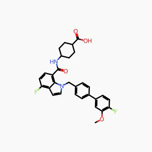 COc1cc(-c2ccc(Cn3ccc4c(F)ccc(C(=O)NC5CCC(C(=O)O)CC5)c43)cc2)ccc1F